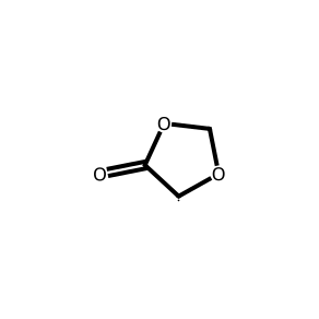 O=C1[CH]OCO1